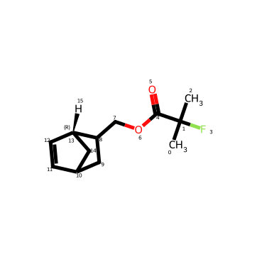 CC(C)(F)C(=O)OCC1CC2C=C[C@H]1C2